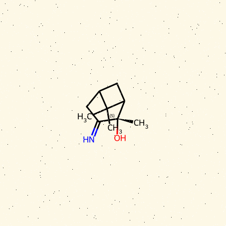 CC1(C)C2CC(=N)[C@@](C)(O)C1C2